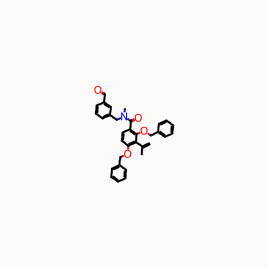 C=C(C)c1c(OCc2ccccc2)ccc(C(=O)N(C)Cc2cccc(C=O)c2)c1OCc1ccccc1